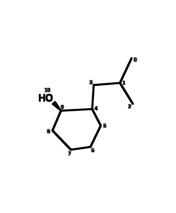 CC(C)CC1CCCC[C@H]1O